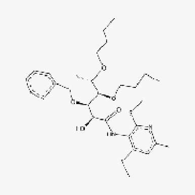 CCCCO[C@@H]([C@H](OCc1ccccc1)[C@H](O)C(=O)Nc1c(SC)cc(C)nc1SC)[C@H](C)OCCCC